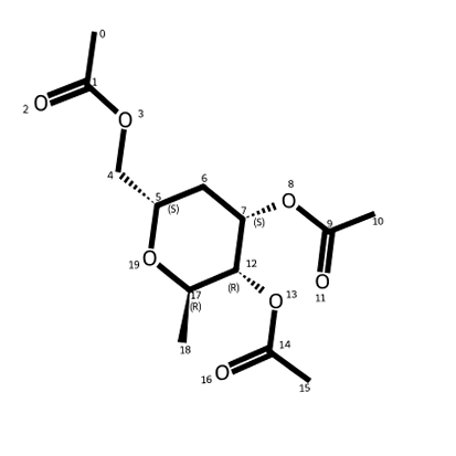 CC(=O)OC[C@@H]1C[C@H](OC(C)=O)[C@H](OC(C)=O)[C@@H](C)O1